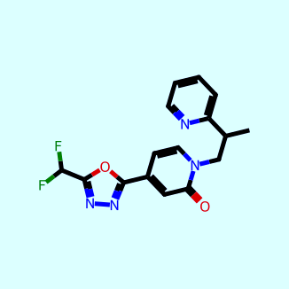 CC(Cn1ccc(-c2nnc(C(F)F)o2)cc1=O)c1ccccn1